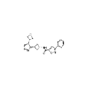 O=C(N[C@H]1C[C@H](n2nncc2C2COC2)C1)c1cc(-c2ccccc2)no1